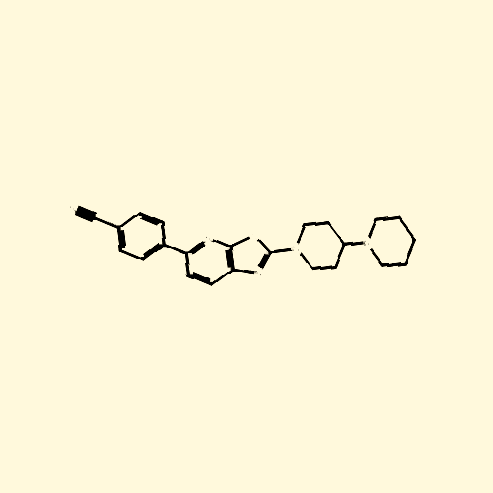 N#Cc1ccc(-c2ccc3nc(N4CCC(N5CCCCC5)CC4)sc3n2)cc1